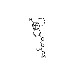 CC(C)OC(=O)OCOc1ccc2c(c1)[C@]13CCCC[C@@H]1[C@H](C2)NCC3